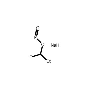 CCC(F)OP=O.[NaH]